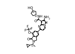 C[C@@H](C1CC1)N1Cc2cc(-c3ccn4nc(N)c(C(=O)N[C@@H]5CC[C@@H](O)C5)c4n3)cc(OC(F)(F)F)c2C1=O